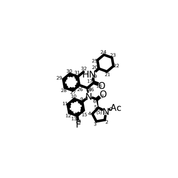 CC(=O)N1CCC[C@H]1C(=O)N(c1cccc(F)c1)[C@H](C(=O)NC1CCCCC1)c1ccccc1C